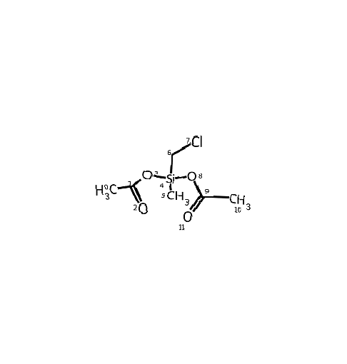 CC(=O)O[Si](C)(CCl)OC(C)=O